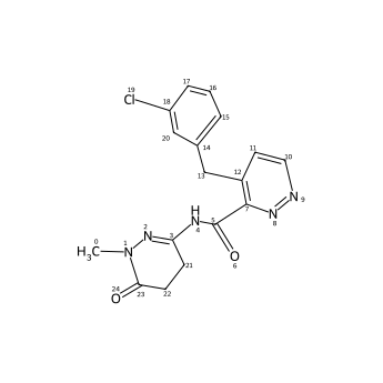 CN1N=C(NC(=O)c2nnccc2Cc2cccc(Cl)c2)CCC1=O